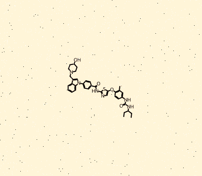 [CH2]c1cc(NC(=O)NC(CC)CC)ccc1Oc1cnc(NC(=O)c2ccc(-n3cc(CN4CCC(O)CC4)c4ccccc43)cc2)s1